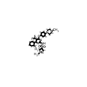 Cc1ccccc1-c1nc(NS(=O)(=O)c2cnn(C)c2)nc(Oc2ccc(N3CCN(C)CC3)cc2)c1C(F)F